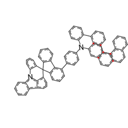 c1ccc(-c2cccc(-c3ccccc3N(c3ccc(-c4cccc5c4-c4ccccc4C54c5ccccc5-n5c6ccccc6c6cccc4c65)cc3)c3ccc(-c4cccc5ccccc45)cc3)c2)cc1